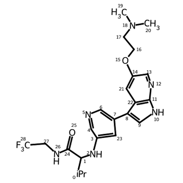 CC(C)C(Nc1cncc(-c2c[nH]c3ncc(OCCN(C)C)cc23)c1)C(=O)NCC(F)(F)F